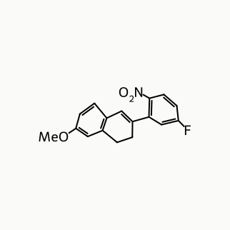 COc1ccc2c(c1)CCC(c1cc(F)ccc1[N+](=O)[O-])=C2